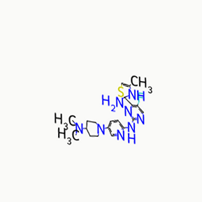 CC1=CSC(N)(c2nc(Nc3ccc(N4CCC(N(C)C)CC4)cn3)ncc2F)N1